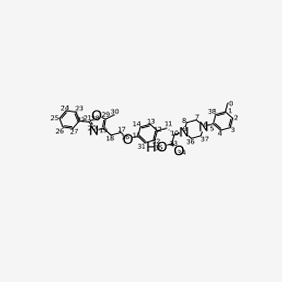 Cc1cccc(N2CCN([C@@H](Cc3ccc(OCCc4nc(-c5ccccc5)oc4C)cc3)C(=O)O)CC2)c1